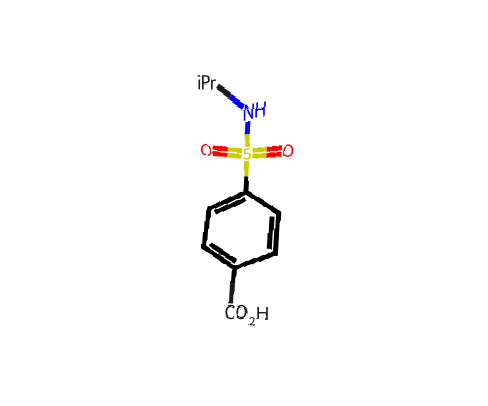 CC(C)NS(=O)(=O)c1ccc(C(=O)O)cc1